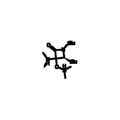 C[SiH](C)OC1([SiH](C)C)C(=O)N(C(C)(C)C)[C@@H]1C(C)(C)C